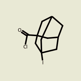 O=C(Cl)C12CC3CC(CC(I)(C3)C1)C2